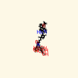 Cc1ccc(C(C)CCCC(=O)N(CCCS(C)(=O)=O)C[C@H](O)[C@@H](O)[C@H](O)[C@H](O)CO)cc1CNC1(c2cnccc2-c2ccccc2OC2CC2)CC1